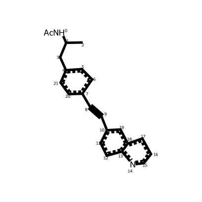 CC(=O)NC(C)Cc1ccc(C#Cc2ccc3ncccc3c2)cc1